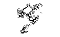 C[C@H]1/C=C\CCCCC[C@H](NC(=O)OC(C)(C)C)C(=O)N2C[C@@]3(CCc4c(c(C(F)(F)F)nc5ccc(OCCCn6cnccc6=O)cc45)O3)C[C@H]2C(=O)N[C@@]1(C)C(=O)NS(=O)(=O)C1(C)CC1